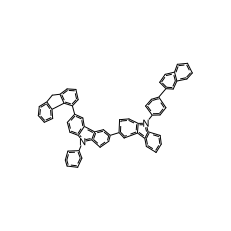 c1ccc(-n2c3ccc(-c4ccc5c(c4)c4ccccc4n5-c4ccc(-c5ccc6ccccc6c5)cc4)cc3c3cc(-c4cccc5c4-c4ccccc4C5)ccc32)cc1